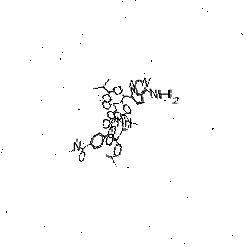 CO[C@](C)(COP(=O)(N[C@@H](C)C(=O)OC(C)C)Oc1ccc(C(=O)N(C)C)cc1)[C@@H](OC(=O)C(C)C)[C@@H](OC(=O)C(C)C)c1ccc2c(N)ncnn12